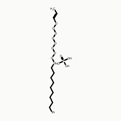 CC=COOOOOOOOOCCCCCCCCCC(C)C.O=P(O)(O)O